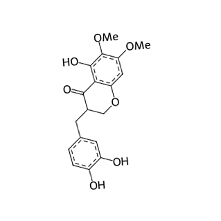 COc1cc2c(c(O)c1OC)C(=O)C(Cc1ccc(O)c(O)c1)CO2